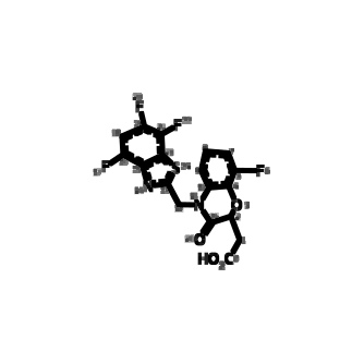 O=C(O)CC1Oc2c(F)cccc2N(Cc2nc3c(F)cc(F)c(F)c3s2)C1=O